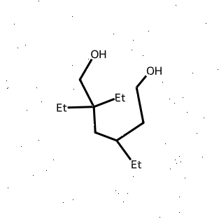 CCC(CCO)CC(CC)(CC)CO